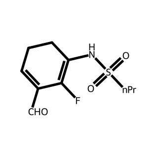 CCCS(=O)(=O)NC1=C(F)C(C=O)=CCC1